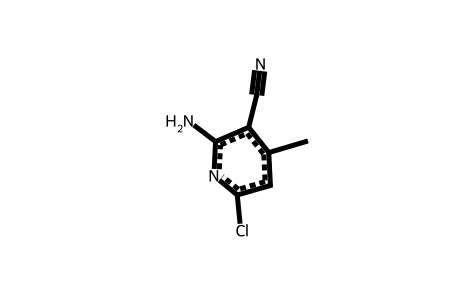 Cc1cc(Cl)nc(N)c1C#N